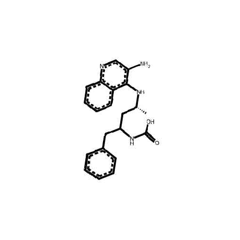 C[C@H](CC(Cc1ccccc1)NC(=O)O)Nc1c(N)cnc2ccccc12